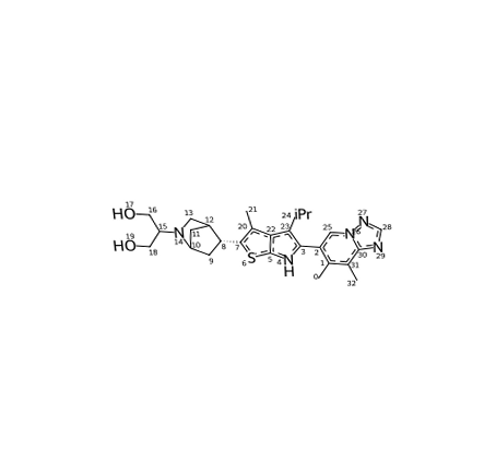 Cc1c(-c2[nH]c3sc([C@@H]4CC5CC4CN5C(CO)CO)c(C)c3c2C(C)C)cn2ncnc2c1C